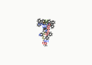 CC(C)(C)OC(=O)NCCSCc1cnccc1SC1=C(C(=O)OC(c2ccccc2)c2ccccc2)N2C(=O)[C@@H](NC(=O)/C(=N\OC(c3ccccc3)(c3ccccc3)c3ccccc3)c3nc(NC(c4ccccc4)(c4ccccc4)c4ccccc4)sc3C(F)(F)F)[C@H]2CC1